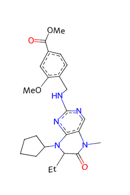 CCC1C(=O)N(C)c2cnc(NCc3ccc(C(=O)OC)cc3OC)nc2N1C1CCCC1